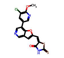 COc1ncc(-c2cncc3cc(C=C4SC(=S)NC4=O)oc23)cc1Cl